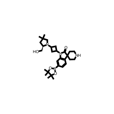 CC1(C)C[C@H](CO)N(C2CC(N3C(=O)C4(CCNCC4)c4ccc(B5OC(C)(C)C(C)(C)O5)cc43)C2)C1